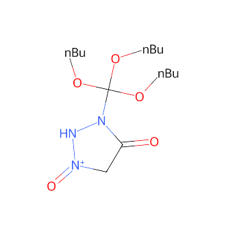 CCCCOC(OCCCC)(OCCCC)N1N[N+](=O)CC1=O